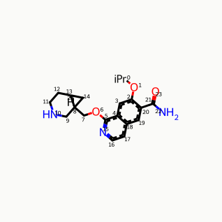 CC(C)Oc1cc2c(OCC34CNCC[C@H]3C4)nccc2cc1C(N)=O